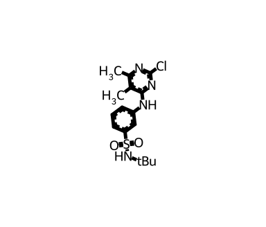 Cc1nc(Cl)nc(Nc2cccc(S(=O)(=O)NC(C)(C)C)c2)c1C